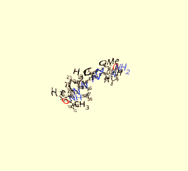 COc1cc(C(=O)N2[C@H]3CC[C@@H]2[C@H](N)C3)cc2nc(-c3cc4ccc([C@@H](C)NC(=O)C5(C)CC5)nc4n3CC3CC3)c(C)n12